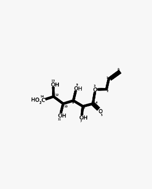 C=CCOC(=O)C(O)C(O)C(O)C(O)C(=O)O